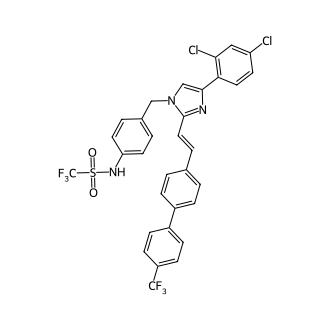 O=S(=O)(Nc1ccc(Cn2cc(-c3ccc(Cl)cc3Cl)nc2C=Cc2ccc(-c3ccc(C(F)(F)F)cc3)cc2)cc1)C(F)(F)F